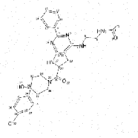 CC(=O)NCCNc1nc(-c2ccccc2)nc2c1CC(C(=O)N1CCC(O)(c3ccc(Cl)cc3)CC1)N2